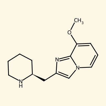 COc1cccn2cc(C[C@@H]3CCCCN3)nc12